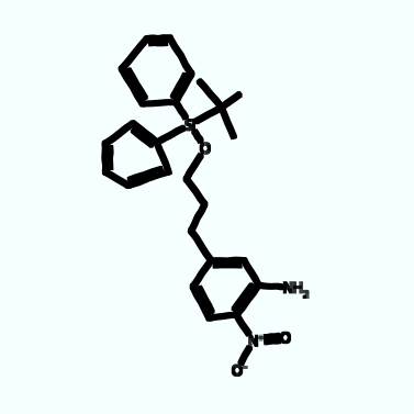 CC(C)(C)[Si](OCCCc1ccc([N+](=O)[O-])c(N)c1)(c1ccccc1)c1ccccc1